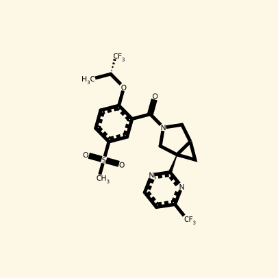 C[C@@H](Oc1ccc(S(C)(=O)=O)cc1C(=O)N1CC2C[C@]2(c2nccc(C(F)(F)F)n2)C1)C(F)(F)F